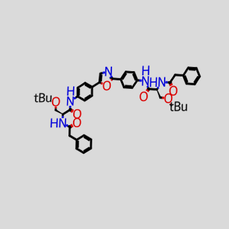 CC(C)(C)OC[C@H](NC(=O)Cc1ccccc1)C(=O)Nc1ccc(-c2cnc(-c3ccc(NC(=O)[C@H](COC(C)(C)C)NC(=O)Cc4ccccc4)cc3)o2)cc1